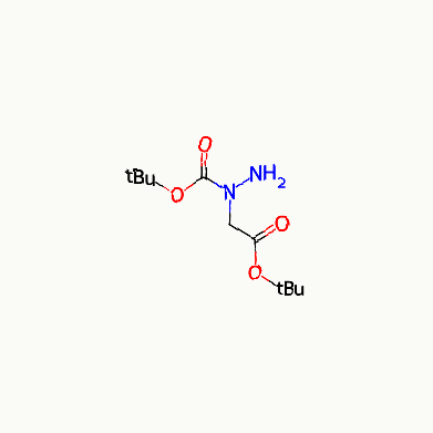 CC(C)(C)OC(=O)CN(N)C(=O)OC(C)(C)C